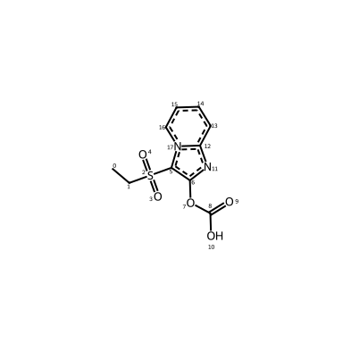 CCS(=O)(=O)c1c(OC(=O)O)nc2ccccn12